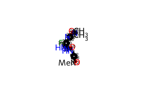 CNC(=O)c1ccc(CNC(=O)c2n[nH]c3c(F)cc(-c4ccc(C(=O)N(C)C)cn4)cc23)cc1